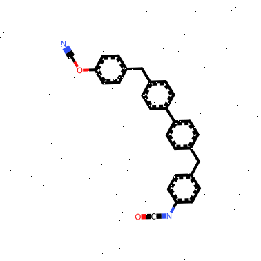 N#COc1ccc(Cc2ccc(-c3ccc(Cc4ccc(N=C=O)cc4)cc3)cc2)cc1